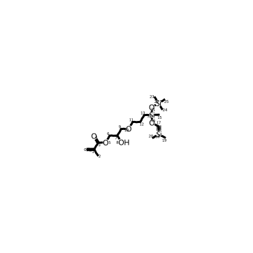 C=C(C)C(=O)OCC(O)COCCC[Si](C)(OC[SiH](C)C)O[Si](C)(C)C